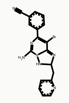 N#Cc1cccc(C2=C(Br)C3=NC(Cc4ccccn4)NN3C(N)=N2)c1